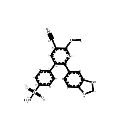 COc1nc(-c2ccc3c(c2)OCO3)c(-c2ccc(S(N)(=O)=O)cc2)cc1C#N